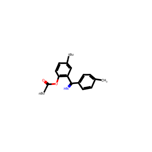 CCCCC(=O)Oc1ccc(C(C)(C)C)cc1C(=N)c1ccc(C)cc1